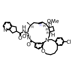 CO[C@H]1/C=C/C[C@H](C)C[S@@](=O)(NC(=O)C2Cc3cccnc3C2)=NC(=O)c2ccc3c(c2)N(Cc2ccc(Cl)cc2CCCCO3)C[C@@H]2CC[C@H]21